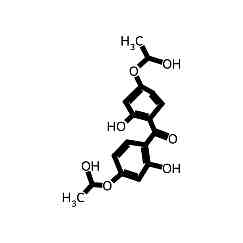 CC(O)Oc1ccc(C(=O)c2ccc(OC(C)O)cc2O)c(O)c1